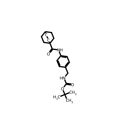 CC(C)(C)OC(=O)NCc1ccc(NC(=O)C23CCC(CC2)CC3)cc1